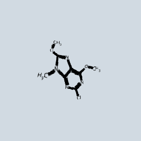 COc1nc(Cl)nc2c1nc(OC)n2C